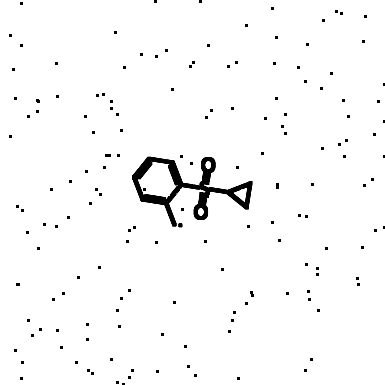 [CH2]c1ccccc1S(=O)(=O)C1CC1